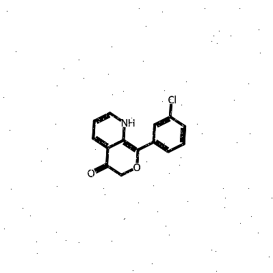 O=C1COC(c2cccc(Cl)c2)=C2NC=CC=C12